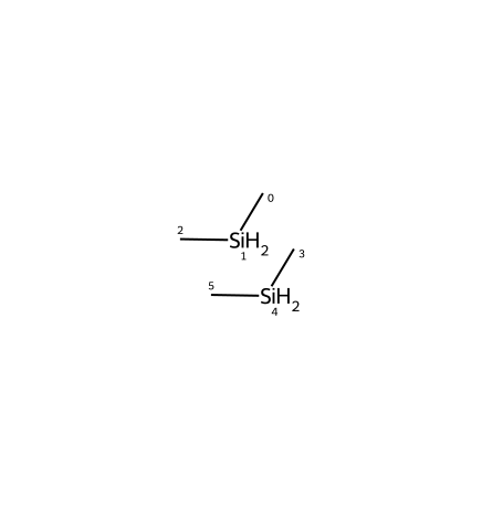 C[SiH2]C.C[SiH2]C